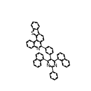 c1ccc(-c2nc(-c3cccc4ccccc34)c(-c3cccc(-c4nc5ccccc5c5c4ccc4c6ccccc6sc45)c3)c(-c3cccc4ccccc34)n2)cc1